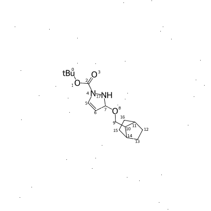 CC(C)(C)OC(=O)N1C=CC(OCC2C3CCC2CC3)N1